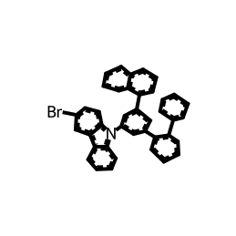 Brc1ccc2c(c1)c1ccccc1n2-c1cc(-c2ccccc2-c2ccccc2)cc(-c2cccc3ccccc23)c1